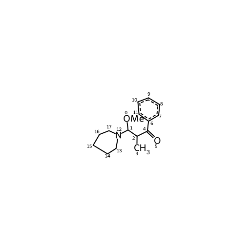 COC(C(C)C(=O)c1ccccc1)N1CCCCC1